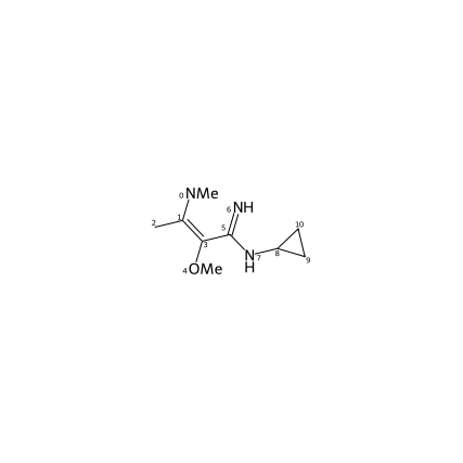 CN/C(C)=C(/OC)C(=N)NC1CC1